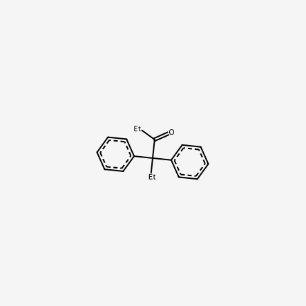 CCC(=O)C(CC)(c1ccccc1)c1ccccc1